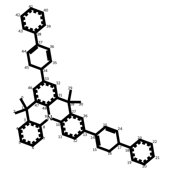 CC1(C)c2ccccc2N2c3ccc(C4=CCC(c5ccccc5)C=C4)cc3C(C)(C)c3cc(C4C=CC(c5ccccc5)=CC4)cc1c32